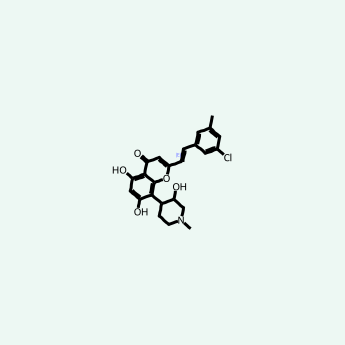 Cc1cc(Cl)cc(/C=C/c2cc(=O)c3c(O)cc(O)c(C4CCN(C)CC4O)c3o2)c1